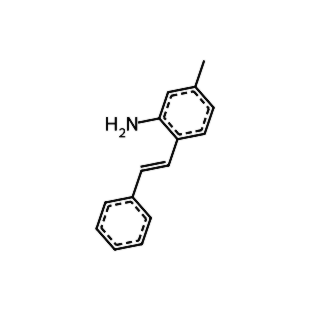 Cc1ccc(C=Cc2ccccc2)c(N)c1